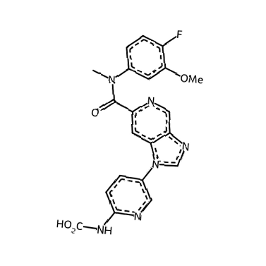 COc1cc(N(C)C(=O)c2cc3c(cn2)ncn3-c2ccc(NC(=O)O)nc2)ccc1F